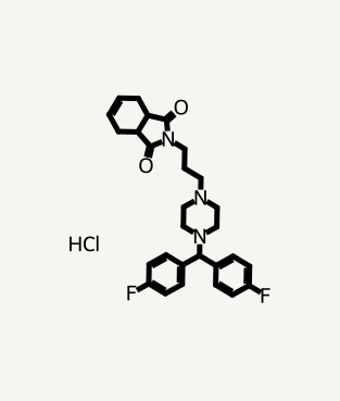 Cl.O=C1C2CC=CCC2C(=O)N1CCCN1CCN(C(c2ccc(F)cc2)c2ccc(F)cc2)CC1